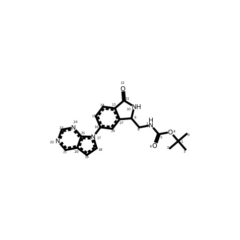 CC(C)(C)OC(=O)NCC1NC(=O)c2ccc(-n3ccc4cncnc43)cc21